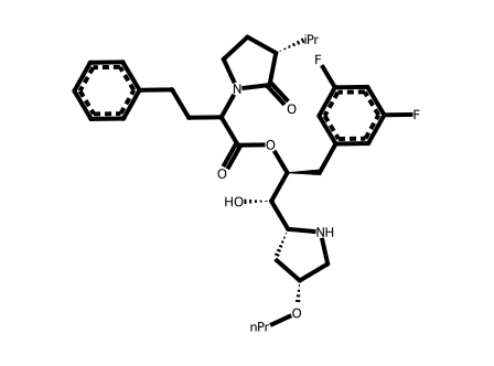 CCCO[C@H]1CN[C@@H]([C@H](O)[C@H](Cc2cc(F)cc(F)c2)OC(=O)C(CCc2ccccc2)N2CC[C@H](C(C)C)C2=O)C1